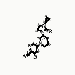 N#Cc1ncc(N2CCCC(N3CCN(C4CC4)C3=O)C2)nc1Cl